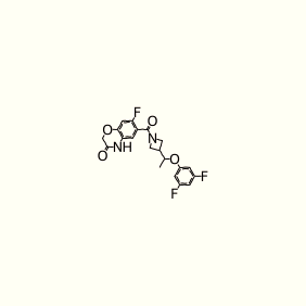 CC(Oc1cc(F)cc(F)c1)C1CN(C(=O)c2cc3c(cc2F)OCC(=O)N3)C1